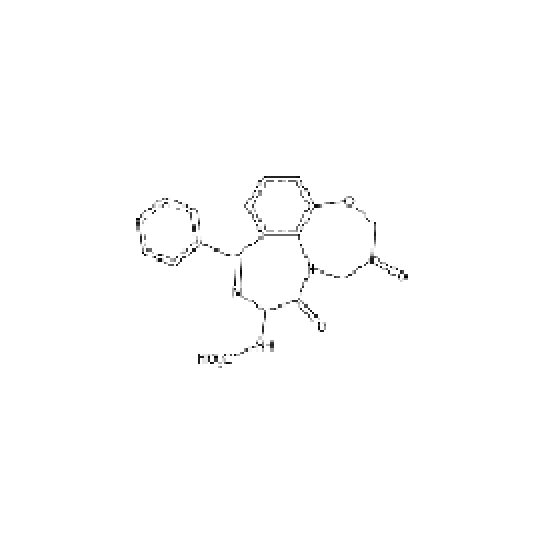 O=C1COc2cccc3c2N(C1)C(=O)C(NC(=O)O)N=C3c1ccccc1